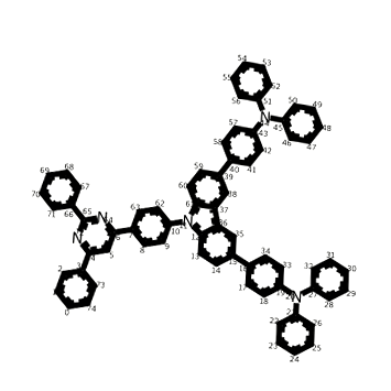 c1ccc(-c2cc(-c3ccc(-n4c5ccc(-c6ccc(N(c7ccccc7)c7ccccc7)cc6)cc5c5cc(-c6ccc(N(c7ccccc7)c7ccccc7)cc6)ccc54)cc3)nc(-c3ccccc3)n2)cc1